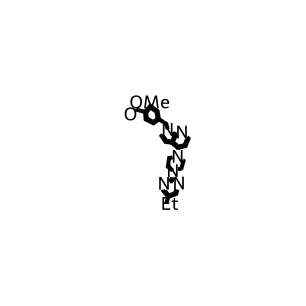 CCc1cnc(N2CCN(c3ccnc4c3ccn4Cc3ccc(C(=O)OC)cc3)CC2)nc1